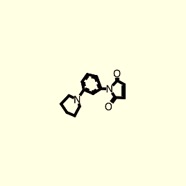 O=C1C=CC(=O)N1c1cccc(N2CCCCC2)c1